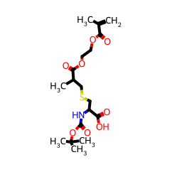 C=C(C)C(=O)OCCOC(=O)C(C)CSCC(NC(=O)OC(C)(C)C)C(=O)O